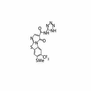 CSc1cc2sc3ncc(C(=O)Nc4nnn[nH]4)c(=O)n3c2cc1C(F)(F)F